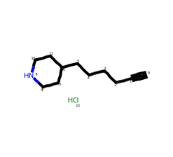 C#CCCCCC1CCNCC1.Cl